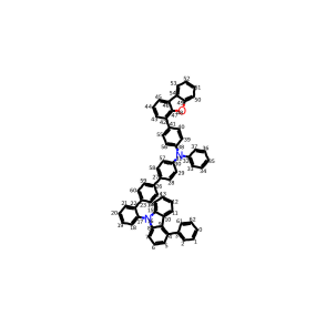 c1ccc(-c2cccc3c2c2ccccc2n3-c2ccccc2-c2ccc(-c3ccc(N(c4ccccc4)c4ccc(-c5cccc6c5oc5ccccc56)cc4)cc3)cc2)cc1